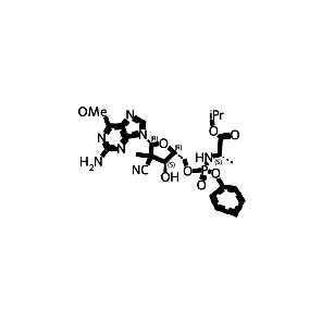 COc1nc(N)nc2c1ncn2[C@@H]1O[C@H](COP(=O)(N[C@@H](C)C(=O)OC(C)C)Oc2ccccc2)[C@@H](O)C1(C)C#N